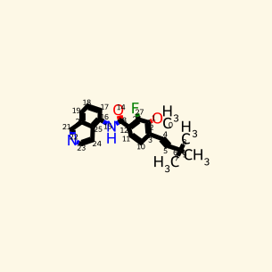 COc1c(C#CC(C)(C)C)ccc(C(=O)Nc2cccc3cnccc23)c1F